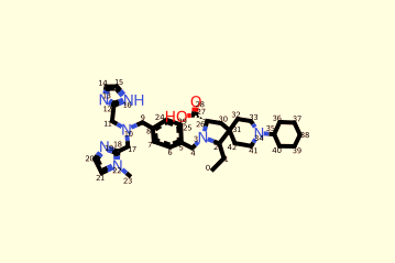 CCC1N(Cc2ccc(CN(Cc3ncc[nH]3)Cc3nccn3C)cc2)[C@H](C(=O)O)CC12CCN(C1CCCCC1)CC2